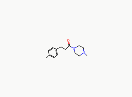 Cc1ccc(CCC(=O)N2CCN(C)CC2)cc1